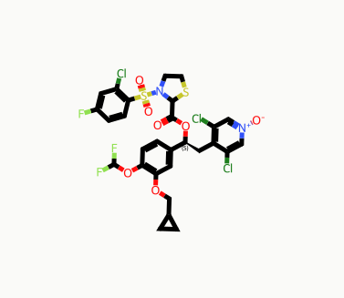 O=C(O[C@@H](Cc1c(Cl)c[n+]([O-])cc1Cl)c1ccc(OC(F)F)c(OCC2CC2)c1)C1SCCN1S(=O)(=O)c1ccc(F)cc1Cl